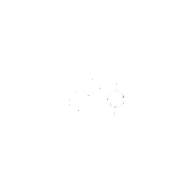 CC(C[S@]1(O)NCCC[C@]1(C)C#N)(N[S@+]([O-])C(C)(C)C)c1nc(Br)ccc1F